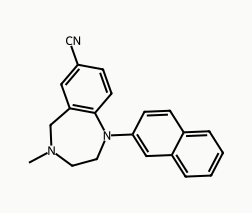 CN1CCN(c2ccc3ccccc3c2)c2ccc(C#N)cc2C1